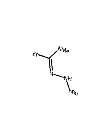 CCCCN/N=C(/CC)NC